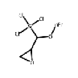 CCCOC(C1CO1)[Si](Cl)(Cl)Cl